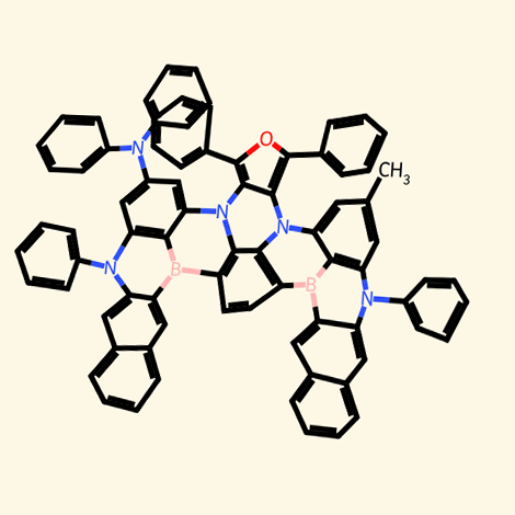 Cc1cc2c3c(c1)N1c4c(ccc5c4N(c4cc(N(c6ccccc6)c6ccccc6)cc6c4B5c4cc5ccccc5cc4N6c4ccccc4)c4c(-c5ccccc5)oc(-c5ccccc5)c41)B3c1cc3ccccc3cc1N2c1ccccc1